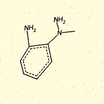 CN(N)c1ccccc1N